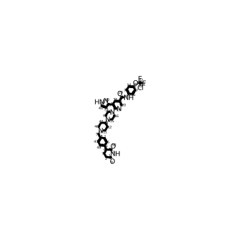 O=C1CCC(c2ccc(CN3CCC(N4CCN(c5ncc(C(=O)Nc6ccc(OC(F)(F)Cl)cc6)cc5-c5cc[nH]n5)CC4)CC3)cc2)C(=O)N1